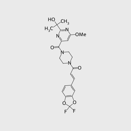 COc1cc(C(=O)N2CCN(C(=O)/C=C/c3ccc4c(c3)OC(F)(F)O4)CC2)nc(C(C)(C)O)n1